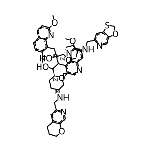 COc1ccc2ccc(F)c(C[C@@](O)(C(c3c(F)cnc4ccc(OC)nc34)C(O)[C@@H]3CC[C@@H](NCc4cc5c(cn4)OCCC5)CO3)[C@@H]3CC[C@@H](NCc4cc5c(cn4)OCS5)CO3)c2n1